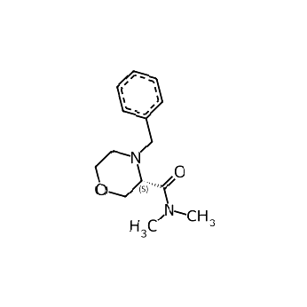 CN(C)C(=O)[C@@H]1COCCN1Cc1ccccc1